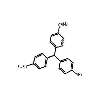 COc1ccc(C(c2ccc(OC(C)=O)cc2)c2ccc(C(C)C)cc2)cc1